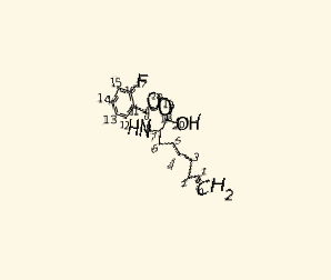 C=CCCCCCC(NC(=O)c1ccccc1F)C(=O)O